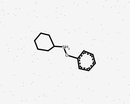 c1ccc(O[SiH2]C2CCCCC2)cc1